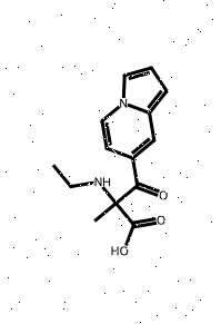 CCNC(C)(C(=O)O)C(=O)c1ccn2cccc2c1